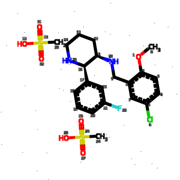 COc1ccc(Cl)cc1CN[C@@H]1CCCN[C@@H]1c1cccc(F)c1.CS(=O)(=O)O.CS(=O)(=O)O